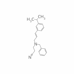 CC(C)c1cccc(/C=C/CN(CCC#N)Cc2ccccc2)c1